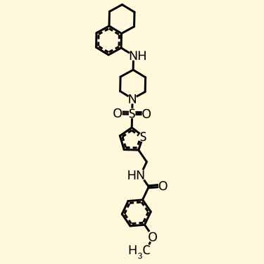 COc1cccc(C(=O)NCc2ccc(S(=O)(=O)N3CCC(Nc4cccc5c4CCCC5)CC3)s2)c1